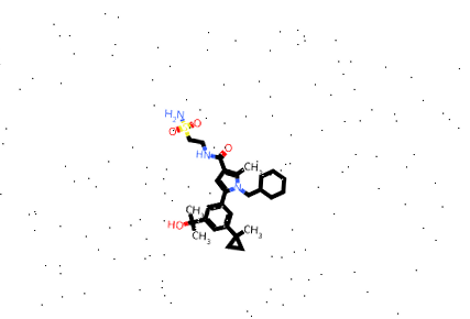 Cc1c(C(=O)NCCS(N)(=O)=O)cc(-c2cc(C(C)(C)O)cc(C3(C)CC3)c2)n1CC1CCCCC1